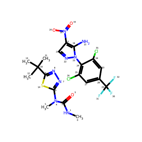 CNC(=O)N(C)c1nnc(C(C)(C)C)s1.Nc1c([N+](=O)[O-])cnn1-c1c(Cl)cc(C(F)(F)F)cc1Cl